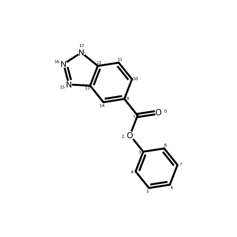 O=C(Oc1ccccc1)c1ccc2c(c1)N=N[N]2